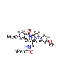 CCCCCC(=O)NCCCn1c(-c2ccc(OC(F)(F)F)cc2)cs/c1=N\C(=O)c1ccc(OC)cc1OC